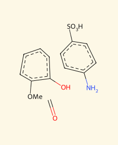 C=O.COc1ccccc1O.Nc1ccc(S(=O)(=O)O)cc1